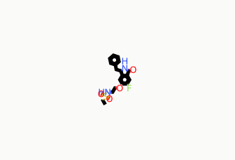 CCS(=O)(=O)NCCOc1cc2c(cc1F)C(=O)NC2Cc1ccccc1